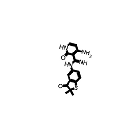 CC1(C)Sc2ccc(NC(=N)c3c(N)cc[nH]c3=O)cc2C1=O